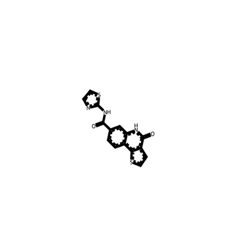 O=C(Nc1nccs1)c1ccc2c(c1)[nH]c(=O)c1ccsc12